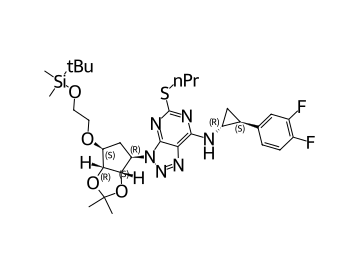 CCCSc1nc(N[C@@H]2C[C@H]2c2ccc(F)c(F)c2)c2nnn([C@@H]3C[C@H](OCCO[Si](C)(C)C(C)(C)C)[C@H]4OC(C)(C)O[C@H]43)c2n1